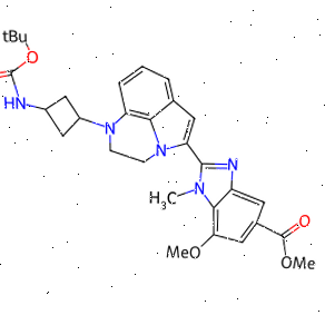 COC(=O)c1cc(OC)c2c(c1)nc(-c1cc3cccc4c3n1CCN4C1CC(NC(=O)OC(C)(C)C)C1)n2C